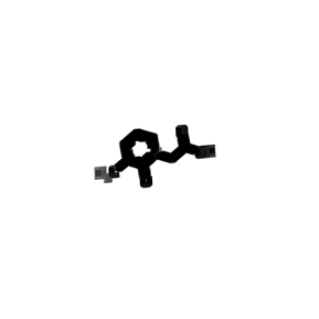 Cc1cccn(CC(=O)O)c1=O